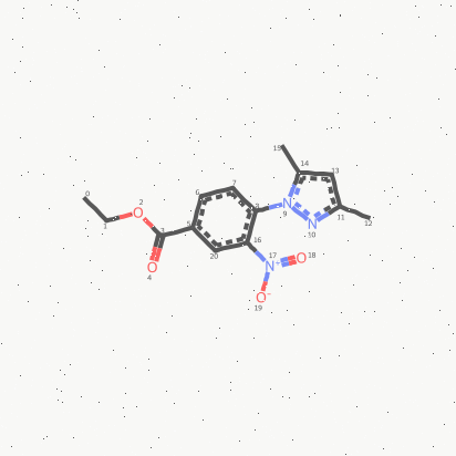 CCOC(=O)c1ccc(-n2nc(C)cc2C)c([N+](=O)[O-])c1